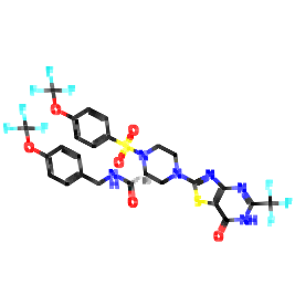 O=C(NCc1ccc(OC(F)(F)F)cc1)[C@H]1CN(c2nc3nc(C(F)(F)F)[nH]c(=O)c3s2)CCN1S(=O)(=O)c1ccc(OC(F)(F)F)cc1